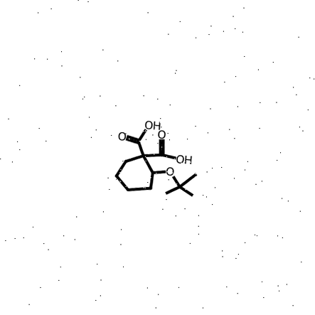 CC(C)(C)OC1CCCCC1(C(=O)O)C(=O)O